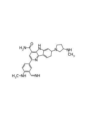 CNc1ccc(-c2cc(C(N)=O)c3[nH]c4c(c3n2)=CCC(N2CCC(NC)C2)C=4)cc1C=N